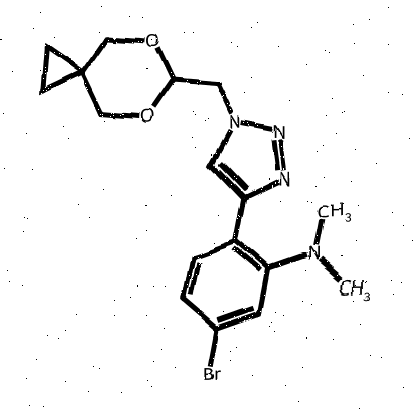 CN(C)c1cc(Br)ccc1-c1cn(CC2OCC3(CC3)CO2)nn1